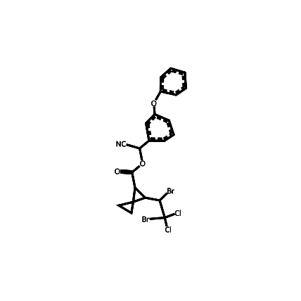 N#CC(OC(=O)C1C(C(Br)C(Cl)(Cl)Br)C12CC2)c1cccc(Oc2ccccc2)c1